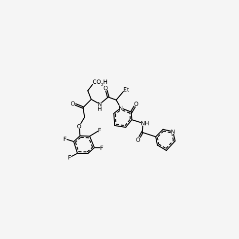 CCC(C(=O)NC(CC(=O)O)C(=O)COc1c(F)c(F)cc(F)c1F)n1cccc(NC(=O)c2cccnc2)c1=O